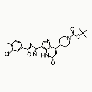 Cc1ccc(-c2nc(-c3cnn4c(C5CCN(C(=O)OC(C)(C)C)CC5)cc(=O)[nH]c34)no2)cc1Cl